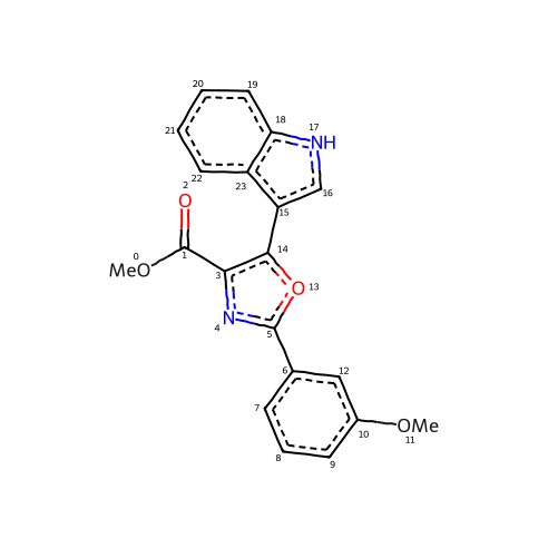 COC(=O)c1nc(-c2cccc(OC)c2)oc1-c1c[nH]c2ccccc12